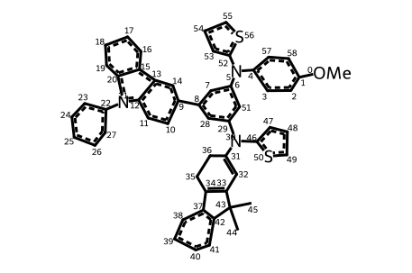 COc1ccc(N(c2cc(-c3ccc4c(c3)c3ccccc3n4-c3ccccc3)cc(N(C3=CC4=C(CC3)c3ccccc3C4(C)C)c3cccs3)c2)c2cccs2)cc1